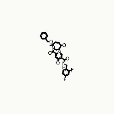 CC1(OCc2ccccc2)C=CC(=O)C2CN1C(=O)c1cc(=O)c(C(=O)NCc3ccc(F)cc3F)cn12